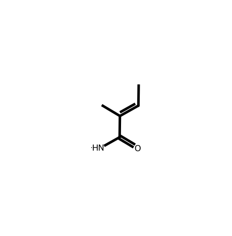 C/C=C(\C)C([NH])=O